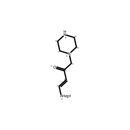 CCCCCCC/C=C/C(=O)CN1CCNCC1